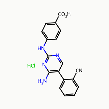 Cl.N#Cc1ccccc1-c1cnc(Nc2ccc(C(=O)O)cc2)nc1N